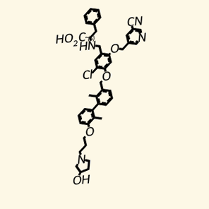 Cc1c(COc2cc(OCc3cncc(C#N)c3)c(CN[C@@H](Cc3ccccc3)C(=O)O)cc2Cl)cccc1-c1cccc(OCCCN2CCC(O)C2)c1C